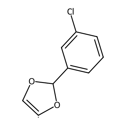 Clc1cccc(C2O[C]=CO2)c1